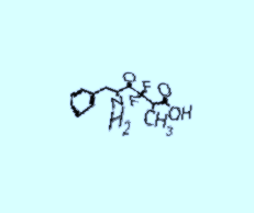 CC(C(=O)O)C(F)(F)C(=O)C(N)Cc1ccccc1